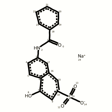 O=C(Nc1ccc2c(O)cc(S(=O)(=O)[O-])cc2c1)c1ccccc1.[Na+]